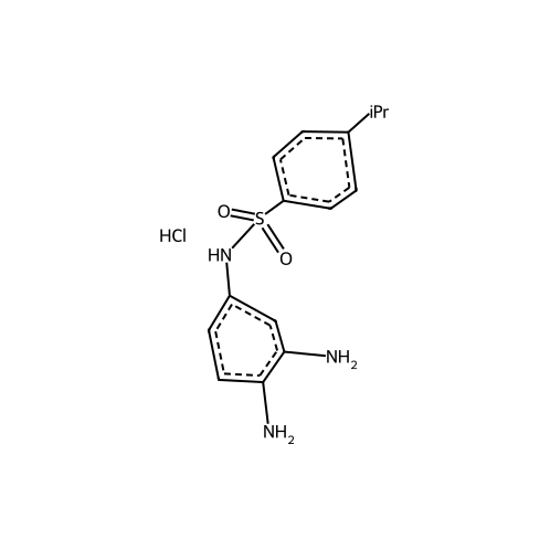 CC(C)c1ccc(S(=O)(=O)Nc2ccc(N)c(N)c2)cc1.Cl